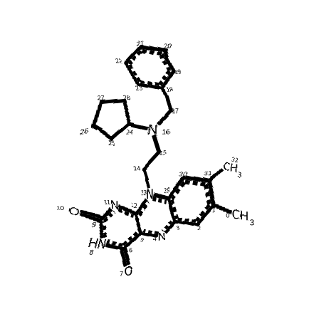 Cc1cc2nc3c(=O)[nH]c(=O)nc-3n(CCN(Cc3ccccc3)C3CCCC3)c2cc1C